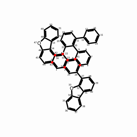 c1ccc(-c2ccccc2-c2c(-c3ccccc3)cccc2N(c2ccc(-c3cccc4c3oc3ccccc34)cc2)c2cccc3oc4ccccc4c23)cc1